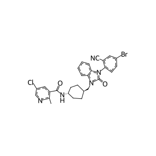 Cc1ncc(Cl)cc1C(=O)N[C@H]1CC[C@H](Cn2c(=O)n(-c3ccc(Br)cc3C#N)c3ccccc32)CC1